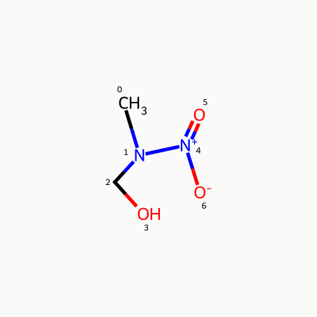 CN(CO)[N+](=O)[O-]